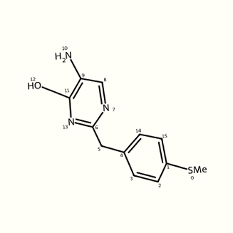 CSc1ccc(Cc2ncc(N)c(O)n2)cc1